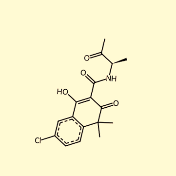 CC(=O)[C@@H](C)NC(=O)C1=C(O)c2cc(Cl)ccc2C(C)(C)C1=O